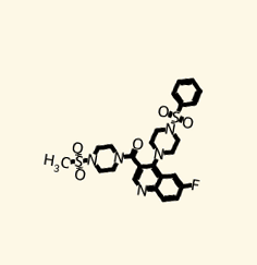 CS(=O)(=O)N1CCN(C(=O)c2cnc3ccc(F)cc3c2N2CCN(S(=O)(=O)c3ccccc3)CC2)CC1